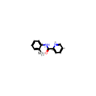 O=C(Nc1ccccc1[N+](=O)[O-])c1ccccn1